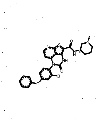 CN1CCC[C@@H](NC(=O)c2sc3nccc4c3c2NC(=O)N4c2ccc(Oc3ccccc3)cc2Cl)C1